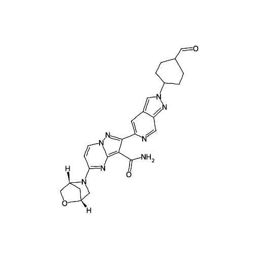 NC(=O)c1c(-c2cc3cn(C4CCC(C=O)CC4)nc3cn2)nn2ccc(N3C[C@H]4C[C@@H]3CO4)nc12